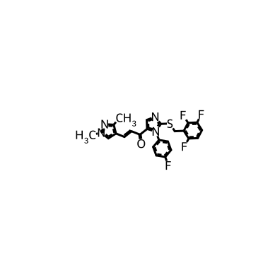 Cc1nn(C)cc1C=CC(=O)c1cnc(SCc2c(F)ccc(F)c2F)n1-c1ccc(F)cc1